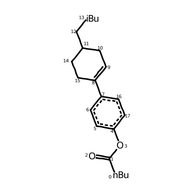 CCCCC(=O)Oc1ccc(C2=CCC(CC(C)CC)CC2)cc1